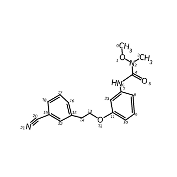 CON(C)C(=O)Nc1cccc(OCCc2cccc(C#N)c2)c1